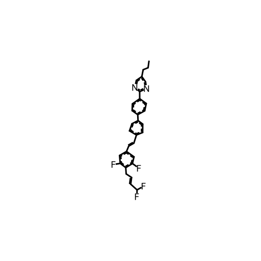 CCCc1cnc(-c2ccc(-c3ccc(/C=C/c4cc(F)c(C/C=C/C(F)F)c(F)c4)cc3)cc2)nc1